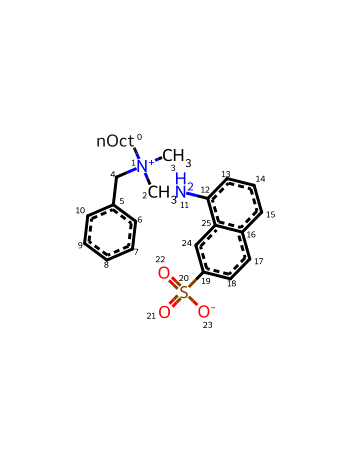 CCCCCCCC[N+](C)(C)Cc1ccccc1.Nc1cccc2ccc(S(=O)(=O)[O-])cc12